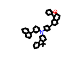 CC1(C)c2ccccc2-c2cc(N(c3ccc(-c4ccc5ccc6oc7ccccc7c6c5c4)cc3)c3cccc(-c4cccc5ccccc45)c3)ccc21